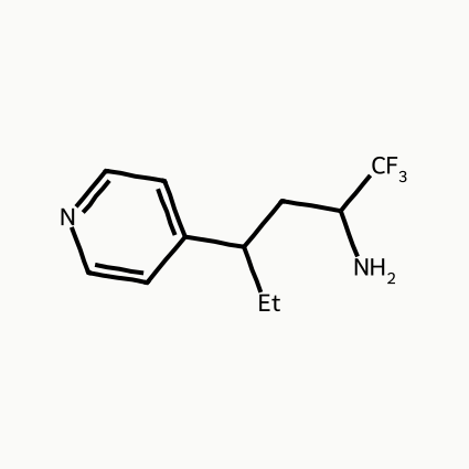 CCC(CC(N)C(F)(F)F)c1ccncc1